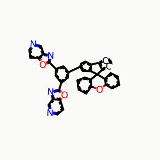 c1ccc2c(c1)Oc1ccccc1C21c2ccccc2-c2ccc(-c3cc(-c4nc5cnccc5o4)cc(-c4nc5cnccc5o4)c3)cc21